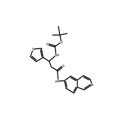 CC(C)(C)OC(=O)NC(CC(=O)Nc1ccc2cnccc2c1)c1ccsc1